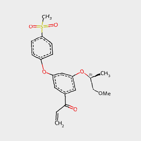 C=CC(=O)c1cc(Oc2ccc(S(C)(=O)=O)cc2)cc(O[C@@H](C)COC)c1